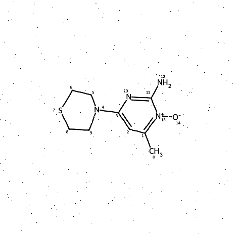 Cc1cc(N2CCSCC2)nc(N)[n+]1[O-]